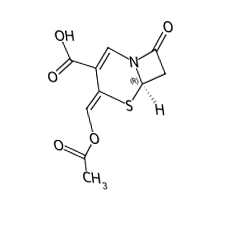 CC(=O)OC=C1S[C@@H]2CC(=O)N2C=C1C(=O)O